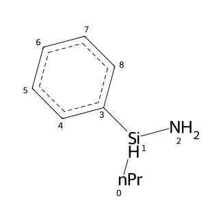 CCC[SiH](N)c1ccccc1